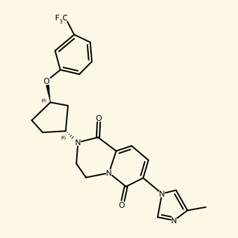 Cc1cn(-c2ccc3n(c2=O)CCN([C@@H]2CC[C@@H](Oc4cccc(C(F)(F)F)c4)C2)C3=O)cn1